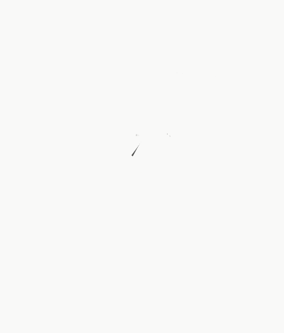 Cc1ccc(-c2ccc([C@H]3CCC(c4ccccc4Cl)=N3)cc2)cc1